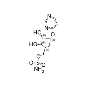 NS(=O)(=O)OC[C@@H]1C[C@@H](Oc2ccncn2)[C@H](O)[C@@H]1O